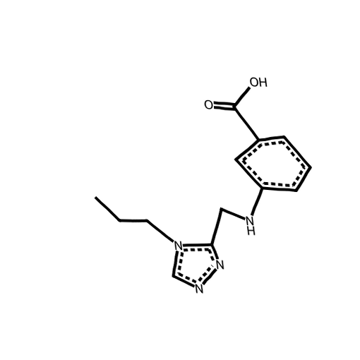 CCCn1cnnc1CNc1cccc(C(=O)O)c1